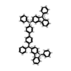 c1ccc(C(c2ccc(-c3ccc(N(c4ccccc4)c4ccc5c(c4)-c4ccccc4C5c4ccccc4)cc3)cc2)c2ccc3c(c2)c2ccccc2n3-c2ccccc2)cc1